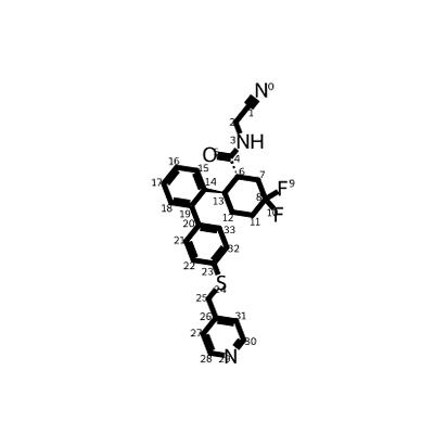 N#CCNC(=O)[C@@H]1CC(F)(F)CC[C@H]1c1ccccc1-c1ccc(SCc2ccncc2)cc1